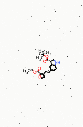 CCOC(=O)c1occc1CCc1ccc2c(c1)[C@@H](C(=O)OC(C)(C)C)CN2